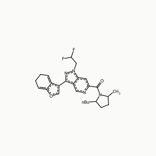 CCCCC1CCC(C)N1C(=O)c1cc2c(cn1)c(-c1coc3c1=CCCC=3)nn2CC(F)F